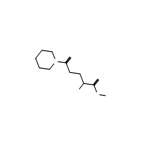 NC(CCC(=O)N1CCCCC1)C(=O)NO